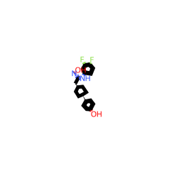 O/N=C(/C[C@H]1CC[C@@H](c2ccc(O)cc2)CC1)Nc1ccc(F)c(F)c1